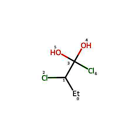 CCC(Cl)C(O)(O)Cl